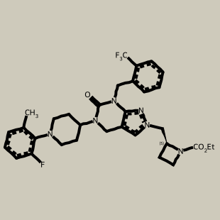 CCOC(=O)N1CC[C@H]1Cn1cc2c(n1)N(Cc1ccccc1C(F)(F)F)C(=O)N(C1CCN(c3c(C)cccc3F)CC1)C2